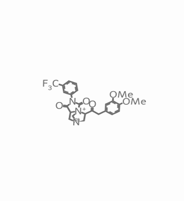 COc1ccc(CC(=O)C2C[N@@]3CC4C(=O)N(c5cccc(C(F)(F)F)c5)C(=O)[N+]24C3)cc1OC